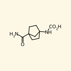 NC(=O)C12CCC(NC(=O)O)(CC1)C2